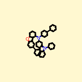 c1ccc(-c2ccc(N(c3ccc4c5ccccc5n(-c5ccccc5)c4c3)c3cccc4oc5ccc(-c6ccccc6)cc5c34)cc2)cc1